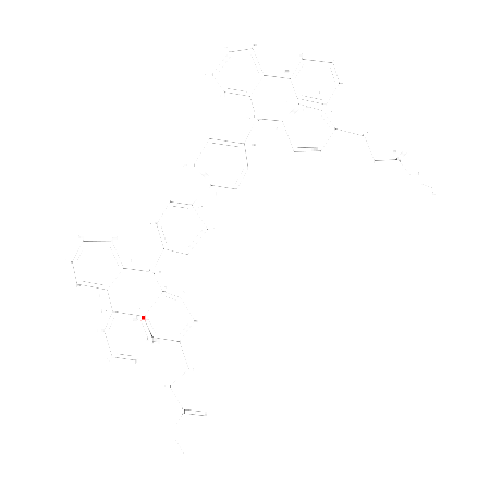 COC(=O)CCc1ccc(N(c2ccc(-c3ccc(N(c4ccc(CCC(=O)OC)cc4)c4ccccc4-c4ccccc4)cc3)cc2)c2ccccc2-c2ccccc2)cc1